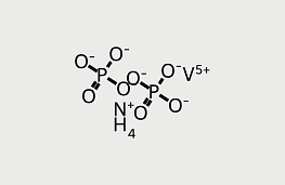 O=P([O-])([O-])[O-].O=P([O-])([O-])[O-].[NH4+].[V+5]